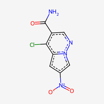 NC(=O)c1cnn2cc([N+](=O)[O-])cc2c1Cl